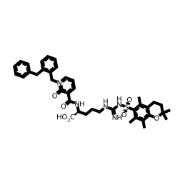 Cc1c(C)c(S(=O)(=O)NC(=N)NCCC[C@H](NC(=O)c2cccn(Cc3ccccc3Cc3ccccc3)c2=O)C(=O)O)c(C)c2c1OC(C)(C)CC2